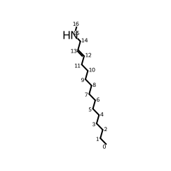 CCCCCCCCCCCCC=CCNC